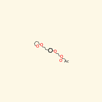 CC(=O)CC(=O)OCCCOc1ccc(CCCOC2CCCCO2)cc1